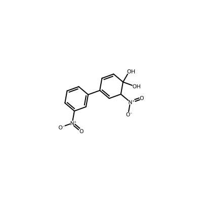 O=[N+]([O-])c1cccc(C2=CC([N+](=O)[O-])C(O)(O)C=C2)c1